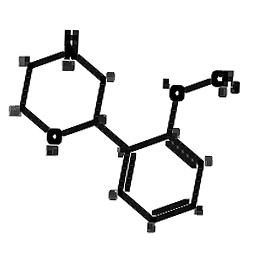 FC(F)(F)Oc1ccccc1C1CNCCO1